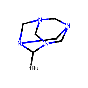 CC(C)(C)C1N2CN3CN(C2)CN1C3